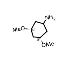 CO[C@@H]1CC(N)C[C@H](OC)C1